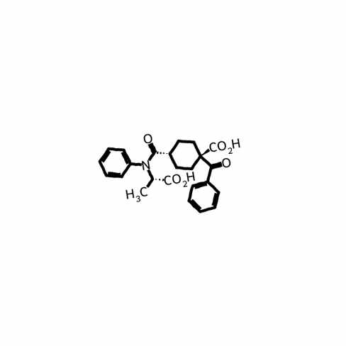 C[C@@H](C(=O)O)N(c1ccccc1)C(=O)[C@H]1CC[C@@](C(=O)O)(C(=O)c2ccccc2)CC1